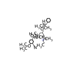 C=C/C=C(\C)CCC(COC(C)(C)NCc1ccccc1)CC(C)N(C)NC(=O)c1ccc(OC(C)C)c(C#N)c1